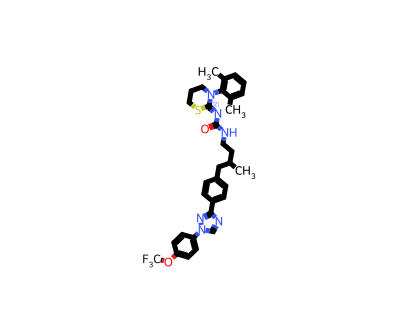 Cc1cccc(C)c1N1CCCS/C1=N\C(=O)NCCC(C)Cc1ccc(-c2ncn(-c3ccc(OC(F)(F)F)cc3)n2)cc1